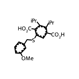 COc1cccc(CSc2cc(C(=O)O)c(C(C)C)c(C(C)C)c2C(=O)O)c1